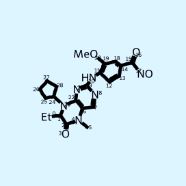 CCC1C(=O)N(C)c2cnc(Nc3ccc(C(=O)N=O)cc3OC)nc2N1C1CCCC1